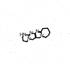 C1CCC2=NC3=C(CN2CC1)CN1CCCNC1=N3